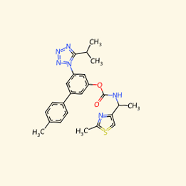 Cc1ccc(-c2cc(OC(=O)NC(C)c3csc(C)n3)cc(-n3nnnc3C(C)C)c2)cc1